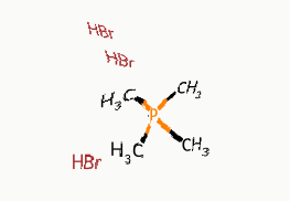 Br.Br.Br.C[P](C)(C)C